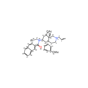 C=CCN1CC[C@@]2(c3cccc(OC)c3)C[C@@H](N(CC(C)C)C(=O)c3ccc4ccccc4c3)CC(OC(C)=O)[C@@H]2C1